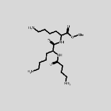 CC(C)(C)OC(=O)C(CCCCN)NC(=O)C(CCCCN)NC(=O)CCCN